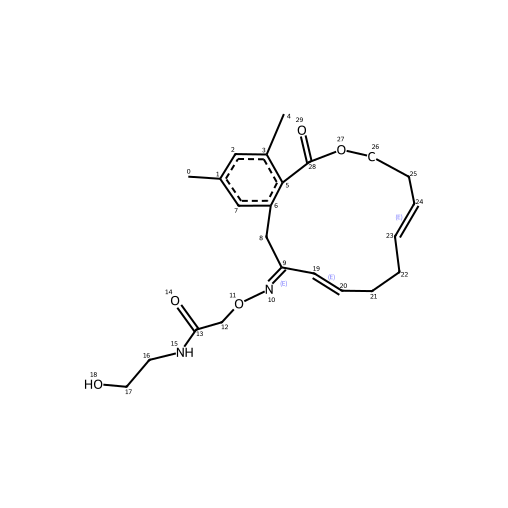 Cc1cc(C)c2c(c1)CC(=N\OCC(=O)NCCO)/C=C/CC/C=C/CCOC2=O